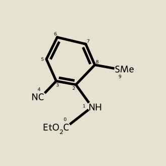 CCOC(=O)Nc1c(C#N)cccc1SC